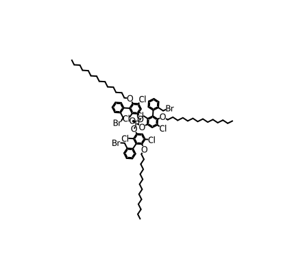 CCCCCCCCCCCCCCOc1c(Cl)cc(OP(=O)(Oc2cc(Cl)c(OCCCCCCCCCCCCCC)c(-c3ccccc3CBr)c2Cl)Oc2cc(Cl)c(OCCCCCCCCCCCCCC)c(-c3ccccc3CBr)c2Cl)c(Cl)c1-c1ccccc1CBr